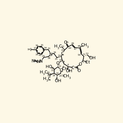 CC[C@H]1OC(=O)C[C@@H](O)[C@H](C)[C@@H](O[C@@H]2O[C@H](C)[C@@H](O)C(N(C)C)C2O)[C@@H](CCN(CCN=[N+]=[N-])Cc2ccc(I)cc2)C[C@@H](C)C(=O)/C=C/C(C)=C/[C@@H]1CO